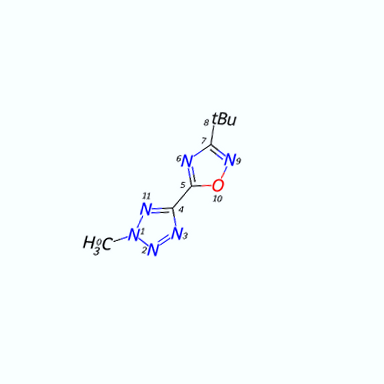 Cn1nnc(-c2nc(C(C)(C)C)no2)n1